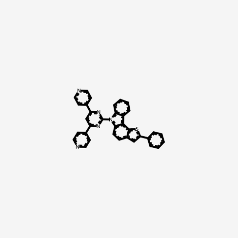 c1ccc(-c2cc3ccc4c(c5ccccc5n4-c4nc(-c5ccncc5)cc(-c5ccncc5)n4)c3s2)cc1